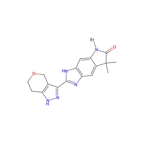 CCN1C(=O)C(C)(C)c2cc3nc(-c4n[nH]c5c4COCC5)[nH]c3cc21